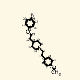 COc1ccc(CCN2CCC(CCOc3ccc(F)cc3)CC2)cc1